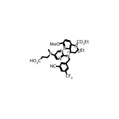 CCOC(=O)N1c2ccc(OC)nc2[C@@H](N(Cc2cc(C#N)cc(C(F)(F)F)c2)c2ncc(N(C)CCC(=O)O)cn2)C[C@H]1CC